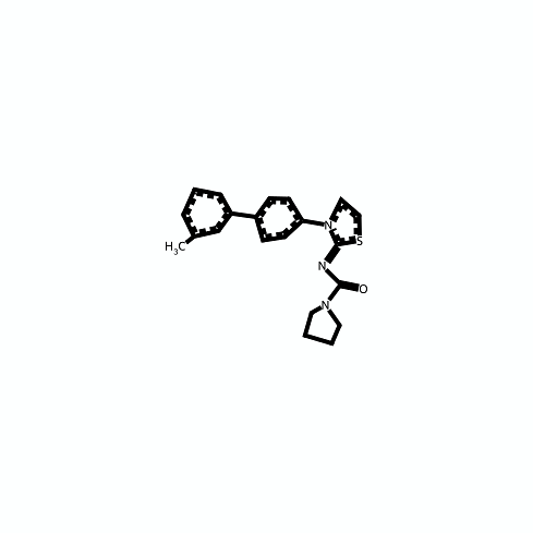 Cc1cccc(-c2ccc(-n3ccs/c3=N\C(=O)N3CCCC3)cc2)c1